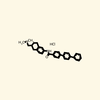 CN(C)CC1CCc2cc(NC(=O)c3ccc(-c4ccc(-c5ccccc5)cc4)cc3)ccc2C1.Cl